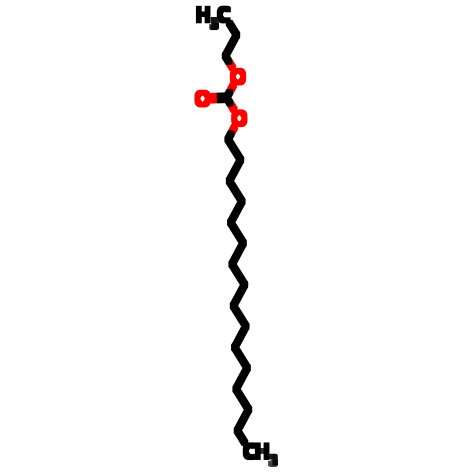 CCCCCCCCCCCCCCCCOC(=O)OCCC